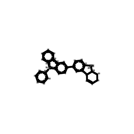 C1=CC2c3cc(-c4ccc5c(c4)c4ccccc4n5-c4ccccc4)ccc3NC2CC1